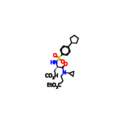 CCOC(=O)CCN(C(=O)[C@H](CC(=O)O)NS(=O)(=O)c1ccc(C2CCCC2)cc1)C1CC1